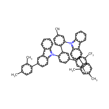 Cc1ccc(-c2ccc3c(c2)c2ccccc2n3-c2ccc(-c3cc(C(F)(F)F)cc(C(F)(F)F)c3)cc2-c2ccc(C#N)cc2-n2c3ccccc3c3cc(-c4ccc(C)cc4C)ccc32)c(C)c1